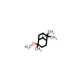 C=C1C2CCC(C)(OC)C1CCC2(C)C